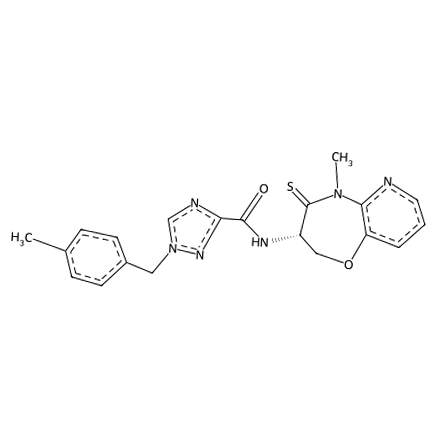 Cc1ccc(Cn2cnc(C(=O)N[C@H]3COc4cccnc4N(C)C3=S)n2)cc1